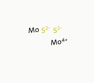 [Mo+4].[Mo].[S-2].[S-2]